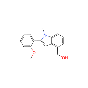 COc1ccccc1-c1cc2c(CO)cccc2n1C